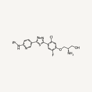 CC(C)Nc1ccc(-c2nnc(-c3cc(F)c(OC[C@H](N)CO)cc3Cl)s2)cn1